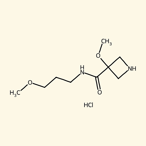 COCCCNC(=O)C1(OC)CNC1.Cl